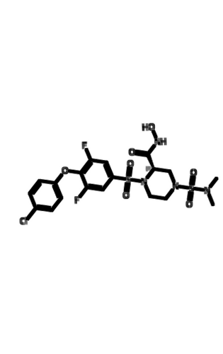 CN(C)S(=O)(=O)N1CCN(S(=O)(=O)c2cc(F)c(Oc3ccc(Cl)cc3)c(F)c2)[C@@H](C(=O)NO)C1